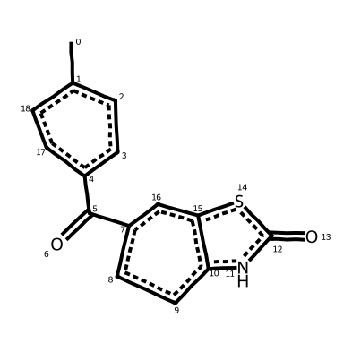 Cc1ccc(C(=O)c2ccc3[nH]c(=O)sc3c2)cc1